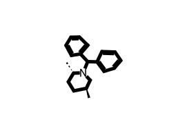 C[C@H]1CC[C@H](C)N(C(c2ccccc2)c2ccccc2)C1